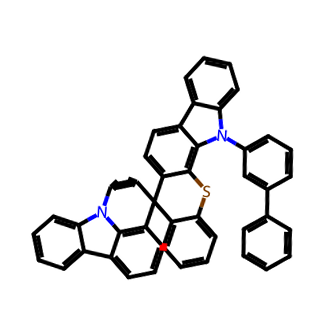 c1ccc(-c2cccc(-n3c4ccccc4c4ccc5c(c43)Sc3ccccc3C53c4ccccc4-n4c5ccccc5c5cccc3c54)c2)cc1